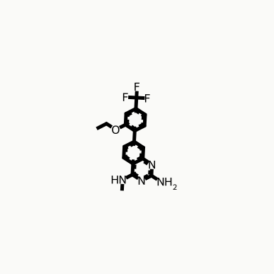 CCOc1cc(C(F)(F)F)ccc1-c1ccc2c(NC)nc(N)nc2c1